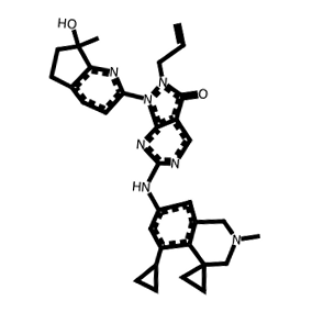 C=CCn1c(=O)c2cnc(Nc3cc4c(c(C5CC5)c3)C3(CC3)CN(C)C4)nc2n1-c1ccc2c(n1)C(C)(O)CC2